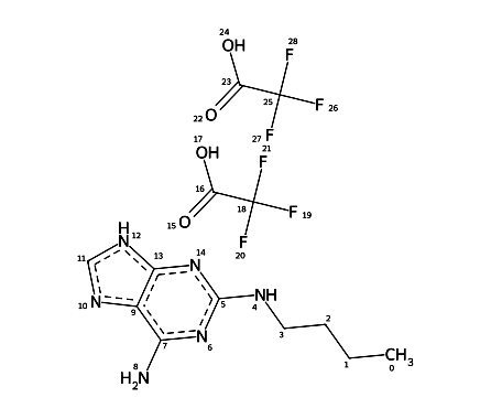 CCCCNc1nc(N)c2nc[nH]c2n1.O=C(O)C(F)(F)F.O=C(O)C(F)(F)F